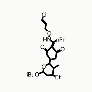 CCCC(NOCC=CCl)=C1C(=O)CC(C2OC(OCC(C)C)CC(CC)C2C)CC1=O